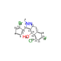 Cc1nn(C)c(-c2ccccc2Br)c1C(O)c1ccc(F)cc1Cl